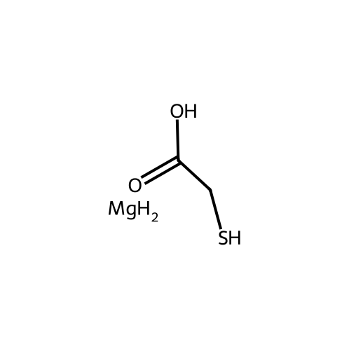 O=C(O)CS.[MgH2]